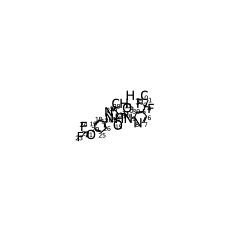 CCC(F)(F)c1ccnc(NC(=O)C2C(=O)N(c3ccc(OC(F)F)cc3)N=C2C)c1